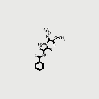 CON=C(C(=O)OC)N1NSC(NC(=O)c2ccccc2)=C1I